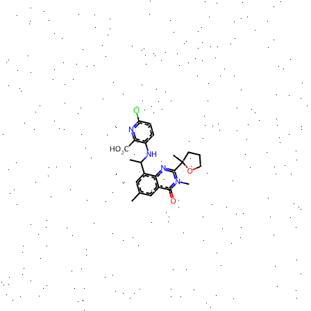 Cc1cc(C(C)Nc2ccc(Cl)nc2C(=O)O)c2nc(C3(C)CCCO3)n(C)c(=O)c2c1